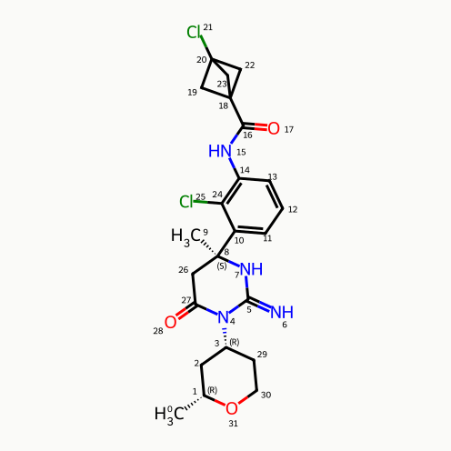 C[C@@H]1C[C@H](N2C(=N)N[C@](C)(c3cccc(NC(=O)C45CC(Cl)(C4)C5)c3Cl)CC2=O)CCO1